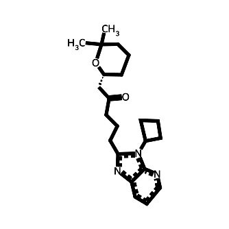 CC1(C)CCC[C@H](CC(=O)CCCc2nc3cccnc3n2C2CCC2)O1